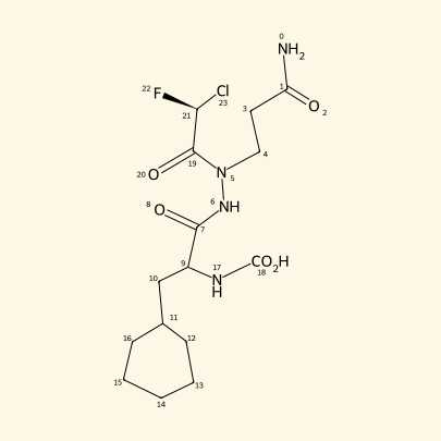 NC(=O)CCN(NC(=O)C(CC1CCCCC1)NC(=O)O)C(=O)[C@@H](F)Cl